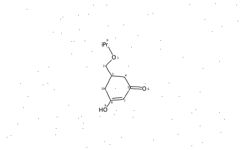 CC(C)OCC1CC(=O)C=C(O)C1